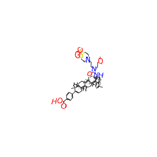 C=C(C)[C@@H]1CC[C@]2(NC(=O)N(CCOC)CCN3CCS(=O)(=O)CC3)CC[C@]3(C)[C@H](CC[C@@H]4[C@@]5(C)CC=C(c6ccc(C(=O)O)cc6)C(C)(C)[C@@H]5CC[C@]43C)[C@@H]12